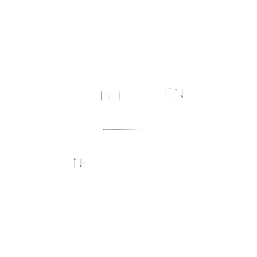 N#CCCC#N.[LiH]